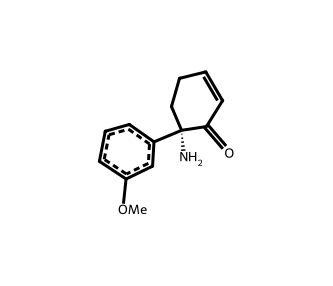 COc1cccc([C@@]2(N)CCC=CC2=O)c1